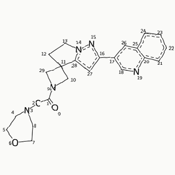 O=C(CN1CCOCC1)N1CC2(CCn3nc(-c4cnc5ccccc5c4)cc32)C1